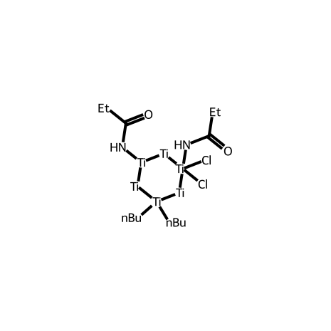 CCC[CH2][Ti]1([CH2]CCC)[Ti][Ti]([NH]C(=O)CC)[Ti][Ti]([Cl])([Cl])([NH]C(=O)CC)[Ti]1